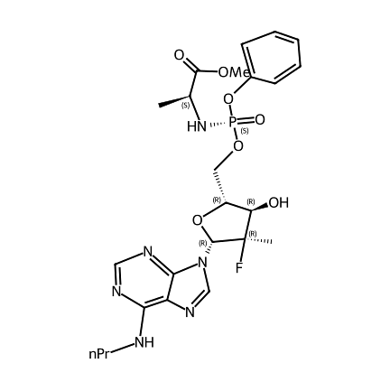 CCCNc1ncnc2c1ncn2[C@@H]1O[C@H](CO[P@@](=O)(N[C@@H](C)C(=O)OC)Oc2ccccc2)[C@@H](O)[C@@]1(C)F